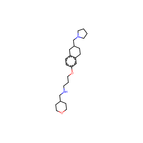 c1cc2c(cc1OCCCNCC1CCOCC1)CCC(CN1CCCC1)C2